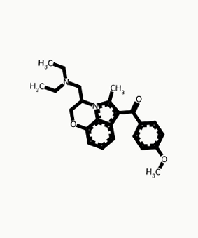 CCN(CC)CC1COc2cccc3c(C(=O)c4ccc(OC)cc4)c(C)n1c23